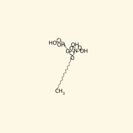 CCCCCCCCCCCCCCCCCCOc1cc(OCCCCCc2cccc(O)c2O)cc(N(CC(=O)O)CC(=O)O)c1